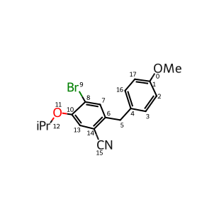 COc1ccc(Cc2cc(Br)c(OC(C)C)cc2C#N)cc1